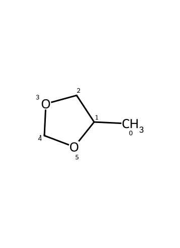 CC1CO[CH]O1